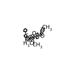 CC(C)CC(NC(=O)Oc1ccc(-c2ccccc2)s1)C(=O)N1CCC2C1C(=O)CN2C(=O)N1CCN(C)CC1